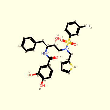 Cc1cccc(S(=O)(=O)N(Cc2cccs2)C[C@@H](O)[C@H](Cc2ccccc2)NC(=O)c2ccc(O)c(O)c2)c1